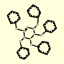 c1ccc(ON2P(Oc3ccccc3)N=[PH](Oc3ccccc3)N(Oc3ccccc3)P2Oc2ccccc2)cc1